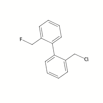 FCc1ccccc1-c1ccccc1CCl